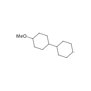 COC1CCC(C2CC[CH]CC2)CC1